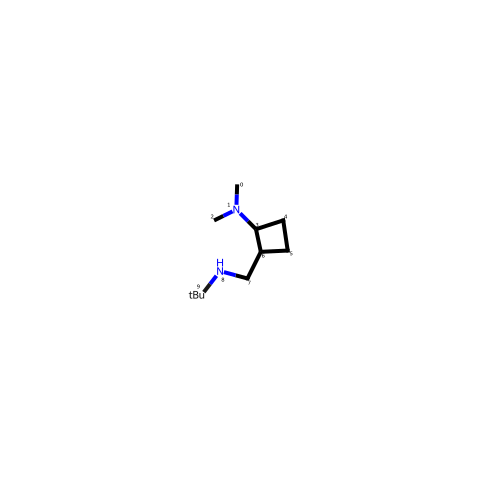 CN(C)C1CCC1CNC(C)(C)C